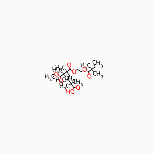 CCC(C)(C)C(=O)OCCOC(=O)C(C)(C=C(C)C(C)(C)C(=O)O)C(C)(C)C(=O)OC